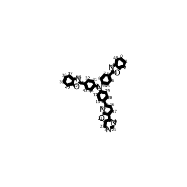 c1ccc2oc(-c3ccc(N(c4ccc(-c5ccc6c(n5)oc5cncnc56)cc4)c4ccc(-c5nc6ccccc6o5)cc4)cc3)nc2c1